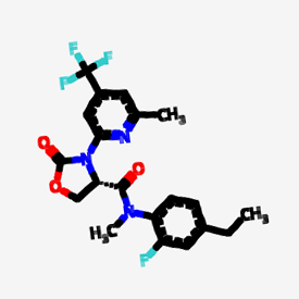 CCc1ccc(N(C)C(=O)[C@@H]2COC(=O)N2c2cc(C(F)(F)F)cc(C)n2)c(F)c1